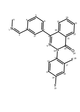 C/N=C\c1cccc(-c2nn(-c3ccc(F)cc3F)c(=O)c3ccccc23)c1